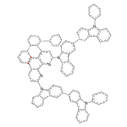 c1ccc(-c2cccc(-c3ccccc3)c2-c2cc(-n3c4ccccc4c4cc(-c5ccc6c(c5)c5ccccc5n6-c5ccccc5)ccc43)nc3c2ccc2ccc(-n4c5ccccc5c5cc(-c6ccc7c(c6)c6ccccc6n7-c6ccccc6)ccc54)nc23)cc1